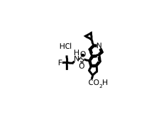 CC(C)(F)CNS(=O)(=O)c1c2c(cc3cnc(C4CC4)cc13)CC(C(=O)O)C2.Cl